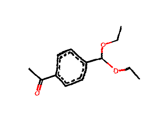 CCOC(OCC)c1ccc(C(C)=O)cc1